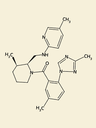 Cc1ccc(NC[C@@H]2[C@H](C)CCCN2C(=O)c2cc(C)ccc2-n2cnc(C)n2)nc1